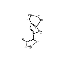 Cc1nnsc1-c1cc2c([nH]1)CCNC2